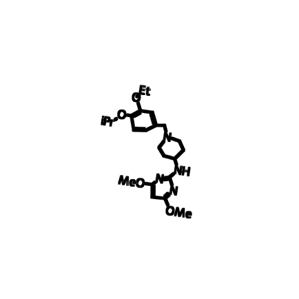 CCOc1cc(CN2CCC(Nc3nc(OC)cc(OC)n3)CC2)ccc1OC(C)C